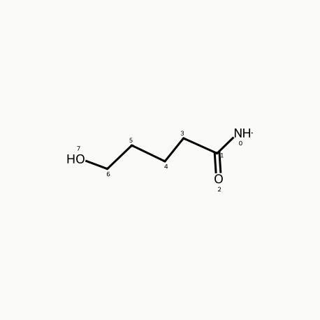 [NH]C(=O)CCCCO